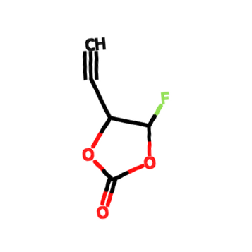 C#CC1OC(=O)OC1F